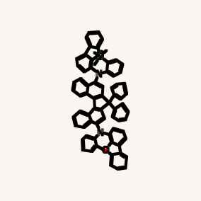 Cc1ccccc1N(c1cc2c(c3ccccc13)-c1c(cc(N(c3ccccc3[Si](C)(C)C)c3cccc4c3oc3ccccc34)c3ccccc13)C2(c1ccccc1)c1ccccc1)c1cccc2c1oc1ccccc12